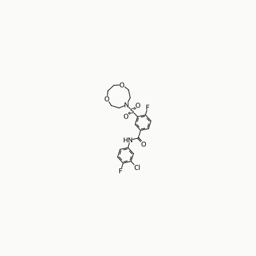 O=C(Nc1ccc(F)c(Cl)c1)c1ccc(F)c(S(=O)(=O)N2CCOCCOCC2)c1